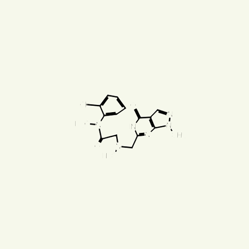 CN(CC(=O)N(C)c1ccccc1Cl)Cc1nc2c(cnn2C)c(=O)[nH]1